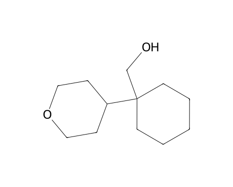 OCC1(C2CCOCC2)CCCCC1